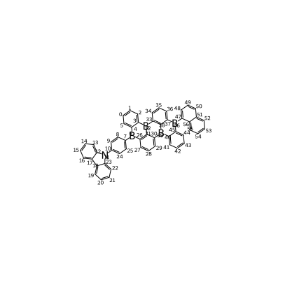 c1ccc2c(c1)B(c1ccc(-n3c4ccccc4c4ccccc43)cc1)c1cccc3c1B2c1cccc2c1B3c1ccccc1B2c1cccc2ccccc12